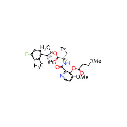 COCCC(=O)Oc1c(OC)ccnc1C(=O)N[C@@H](CC(C)C)C(=O)O[C@@H](C)[C@H](c1ccc(F)cc1C)C(C)C